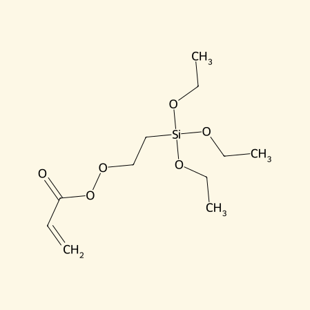 C=CC(=O)OOCC[Si](OCC)(OCC)OCC